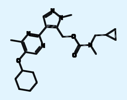 Cc1nc(-c2cnn(C)c2COC(=O)N(C)CC2CC2)ncc1OC1CCCCC1